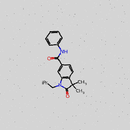 CC(C)CN1C(=O)C(C)(C)c2ccc(C(=O)Nc3ccccc3)cc21